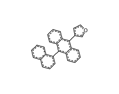 c1ccc2c(-c3c4ccccc4c(-c4ccoc4)c4ccccc34)cccc2c1